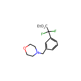 CCOC(=O)C(F)(F)c1cccc(CN2CCOCC2)c1